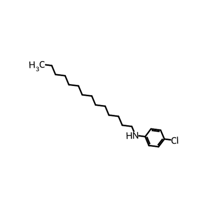 CCCCCCCCCCCCCCNc1ccc(Cl)cc1